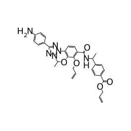 C=CCOC(=O)c1ccc(C(C)NC(=O)c2ccc(-n3nnc(-c4ccc(N)cc4)n3)c(OC(C)C)c2OCC=C)cc1